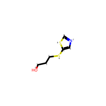 OCCCSc1cn[c]s1